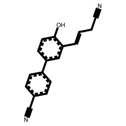 N#CC/C=C/c1cc(-c2ccc(C#N)cc2)ccc1O